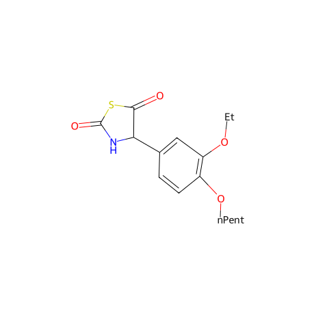 CCCCCOc1ccc(C2NC(=O)SC2=O)cc1OCC